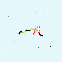 CCOP(=O)(O)SCCSCC